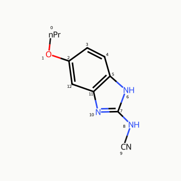 CCCOc1ccc2[nH]c(NC#N)nc2c1